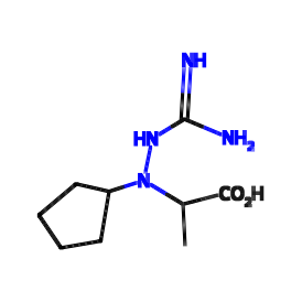 CC(C(=O)O)N(NC(=N)N)C1CCCC1